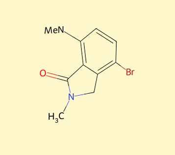 CNc1ccc(Br)c2c1C(=O)N(C)C2